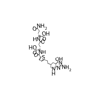 NC(=O)CC[C@@H](NC(=O)CC[C@H](NC(=O)c1ccc(CCC2CNc3nc(N)nc(O)c3C2)s1)C(=O)O)C(=O)O